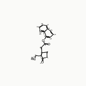 CCC(C)CC1C(=O)CCC1CC(=O)Oc1cccc2cccnc12